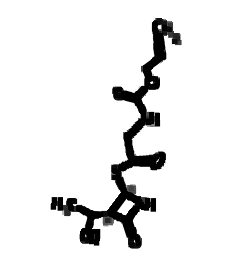 C=CCOC(=O)NCC(=O)S[C@H]1NC(=O)[C@H]1C(C)O